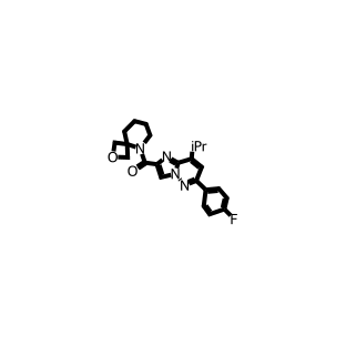 CC(C)c1cc(-c2ccc(F)cc2)nn2cc(C(=O)N3CCCCC34COC4)nc12